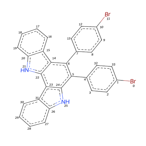 Brc1ccc(-c2c(-c3ccc(Br)cc3)c3c4ccccc4[nH]c3c3c2[nH]c2ccccc23)cc1